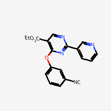 [C-]#[N+]c1cccc(Oc2nc(-c3cccnc3)ncc2C(=O)OCC)c1